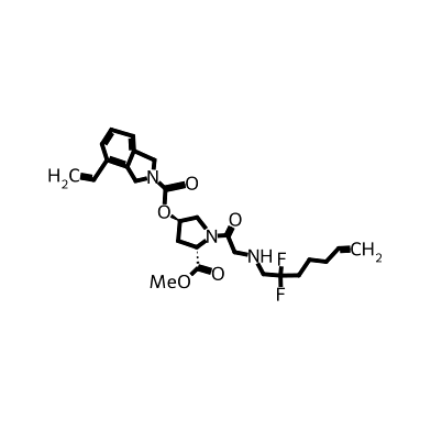 C=CCCCC(F)(F)CNCC(=O)N1C[C@H](OC(=O)N2Cc3cccc(C=C)c3C2)C[C@H]1C(=O)OC